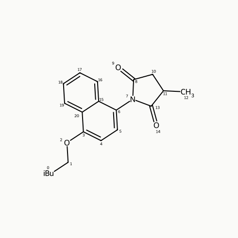 CCC(C)COc1ccc(N2C(=O)CC(C)C2=O)c2ccccc12